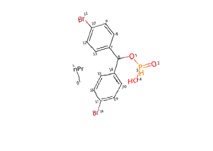 CCCC.O=[PH](O)OC(c1ccc(Br)cc1)c1ccc(Br)cc1